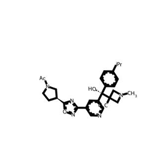 CC(=O)N1CC[C@H](c2nc(-c3cncc([C@@](O)(c4ccc(C(C)C)cc4)C4(C)CN(C)C4)c3)no2)C1